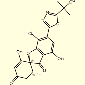 C[C@@H]1CC(=O)C=C(O)[C@@]12Oc1c(Cl)c(-c3nnc(C(C)(C)O)o3)cc(O)c1C2=O